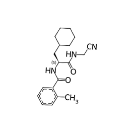 Cc1ccccc1C(=O)N[C@@H](CC1CCCCC1)C(=O)NCC#N